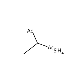 CC(=O)C(C)C(C)=O.[SiH4]